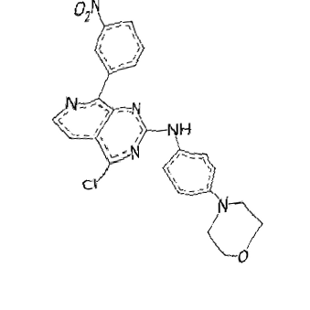 O=[N+]([O-])c1cccc(-c2nccc3c(Cl)nc(Nc4ccc(N5CCOCC5)cc4)nc23)c1